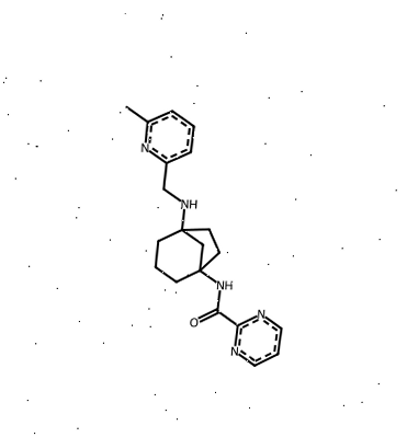 Cc1cccc(CNC23CCCC(NC(=O)c4ncccn4)(CC2)C3)n1